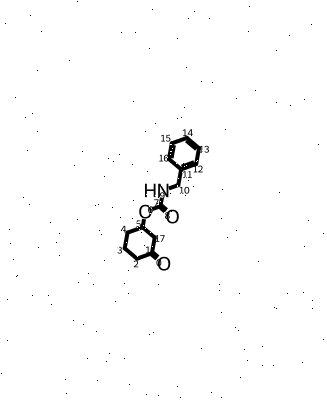 O=C1CCCC(OC(=O)NCc2ccccc2)C1